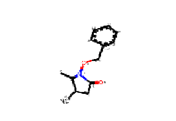 CC1C(C#N)CC(=O)N1OCc1ccccc1